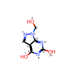 OCn1ncc2c(O)nc(O)nc21